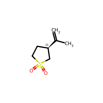 C=C(C)[C@@H]1CCS(=O)(=O)C1